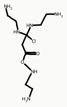 NCCNOC(=O)CC(Cl)(NCCN)NCCN